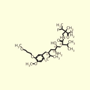 COCCCOc1cc(C[C@@H](C[C@H](N)[C@@H](O)C[C@H](C(=O)NCC(C)(C(N)=O)C(C)F)C(C)C)C(C)C)ccc1OC